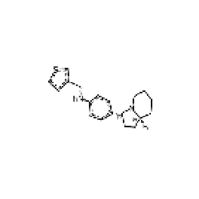 c1cc(CNc2ccc([C@H]3CC[C@H]4CCCCN43)cc2)cs1